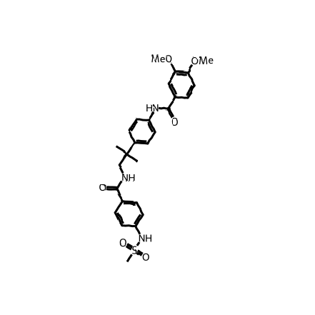 COc1ccc(C(=O)Nc2ccc(C(C)(C)CNC(=O)c3ccc(NS(C)(=O)=O)cc3)cc2)cc1OC